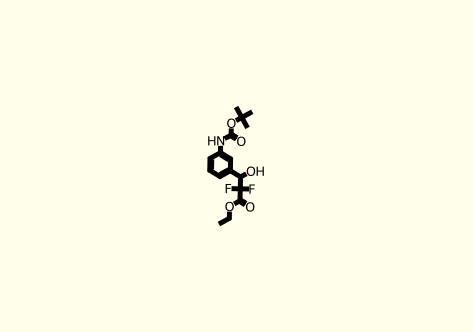 CCOC(=O)C(F)(F)C(O)c1cccc(NC(=O)OC(C)(C)C)c1